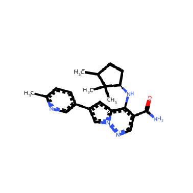 Cc1ccc(-c2cc3c(N[C@@H]4CCC(C)C4(C)C)c(C(N)=O)cnn3c2)cn1